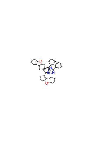 c1ccc(-c2ccc(-c3cccc4oc5cccc(-c6nc(-c7ccccc7)nc(-c7ccc8c(c7)oc7ccccc78)n6)c5c34)cc2)cc1